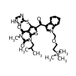 CC(C)Cn1c(=O)n(C)c(=O)c2c(Sc3nc[nH]n3)c(C(=O)c3cn(COCC[Si](C)(C)C)c4ccccc34)sc21